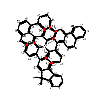 CC1(C)c2ccccc2-c2ccc(-c3ccccc3N(c3ccccc3-c3cccc4c3ccc3ccccc34)c3ccccc3-c3cccc4cccc(-c5ccccc5)c34)cc21